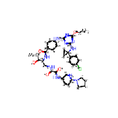 COC(=O)[C@H](CNC(=O)C(=O)Nc1ccc(N2CCCC2)nc1)NC(=O)c1ccc(Nc2nc(NC3(c4ccc(Cl)cc4)CC3)nc(OCC(F)(F)F)n2)cc1